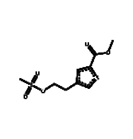 COC(=O)c1cc(CCOS(C)(=O)=O)cs1